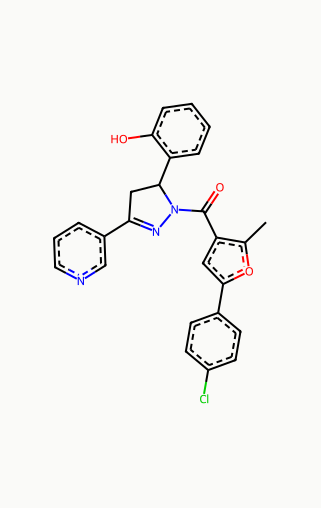 Cc1oc(-c2ccc(Cl)cc2)cc1C(=O)N1N=C(c2cccnc2)CC1c1ccccc1O